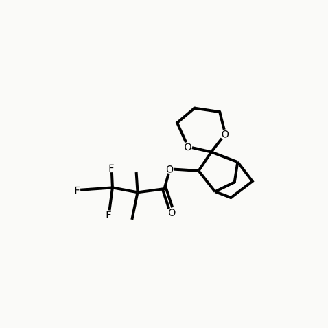 CC(C)(C(=O)OC1C2CCC(C2)C12OCCCO2)C(F)(F)F